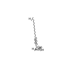 CCCCCCCCCCCCCOOOOOCC(C)OP(=O)(O)O